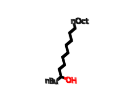 CCCCCCCCCCCCCCCCC(O)CCCC